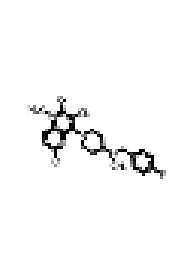 CN(Cc1ccc(F)cc1)C1CCN(c2c(C#N)c(=O)n(C)c3ccc(Cl)nc23)CC1